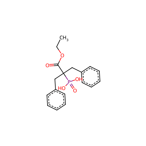 CCOC(=O)C(Cc1ccccc1)(Cc1ccccc1)P(=O)(O)O